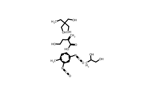 C=C(CCO)C(=O)O.CC(O)CO.CCC(CO)(CO)CO.Cc1ccc(N=C=O)cc1N=C=O